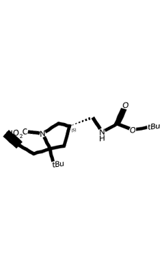 C#CCC1(C(C)(C)C)C[C@@H](CNC(=O)OC(C)(C)C)CN1C(=O)O